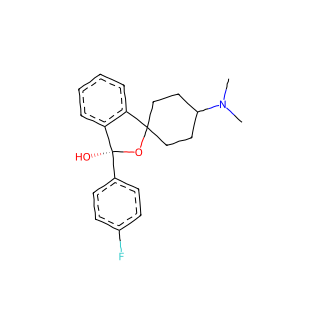 CN(C)C1CCC2(CC1)O[C@@](O)(c1ccc(F)cc1)c1ccccc12